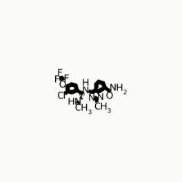 CNC[C@@H](Nc1nc(C)nc2c(C(N)=O)cccc12)c1ccc(OC(F)(F)F)c(Cl)c1